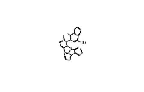 Cc1c(-c2c3c(cc[n+]2C)c2cccc4c5ccccc5n3c42)cc(C(C)(C)C)c2ccccc12